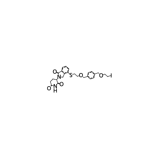 O=C1CCC(N2Cc3c(SCCOCc4ccc(COCCI)cc4)cccc3C2=O)C(=O)N1